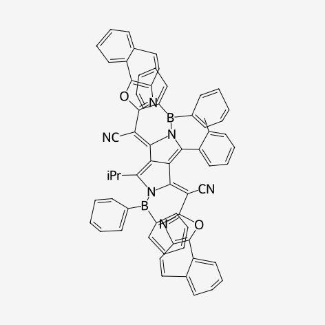 Cc1ccccc1-c1c2/c(=C(\C#N)c3nc4ccc5ccccc5c4o3)n(B(c3ccccc3)c3ccccc3)c(C(C)C)c2/c(=C(\C#N)c2nc3ccc4ccccc4c3o2)n1B(c1ccccc1)c1ccccc1